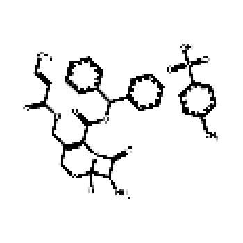 C/C=C/C(=O)OCC1=C(C(=O)OC(c2ccccc2)c2ccccc2)N2C(=O)[C@@H](N)[C@@H]2SC1.Cc1ccc(S(=O)(=O)O)cc1